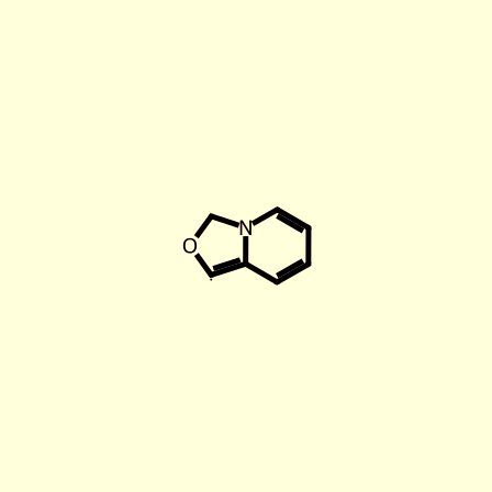 [C]1=C2C=CC=CN2CO1